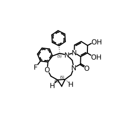 O=C1C2=C(O)C(O)C=CN2N2CN1C[C@H]1C[C@@H]1COc1c(F)cccc1[C@@H]2c1ccccc1